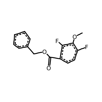 COc1c(F)ccc(C(=O)OCc2ccccc2)c1F